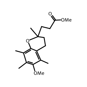 COC(=O)CCC1(C)CCc2c(C)c(OC)c(C)c(C)c2O1